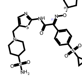 NS(=O)(=O)C1CCN(Cc2cnc(NC(=O)/C(=N/O[C@@H]3CCOC3)c3ccc(S(=O)(=O)C4CC4)cc3)s2)CC1